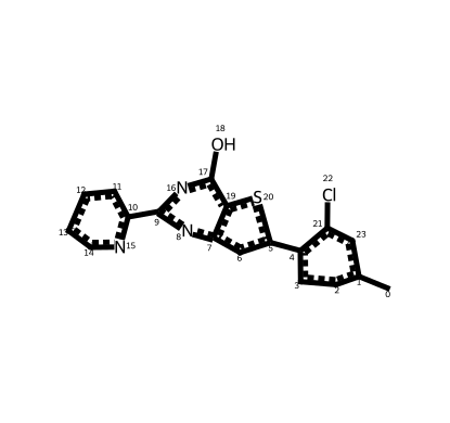 Cc1ccc(-c2cc3nc(-c4ccccn4)nc(O)c3s2)c(Cl)c1